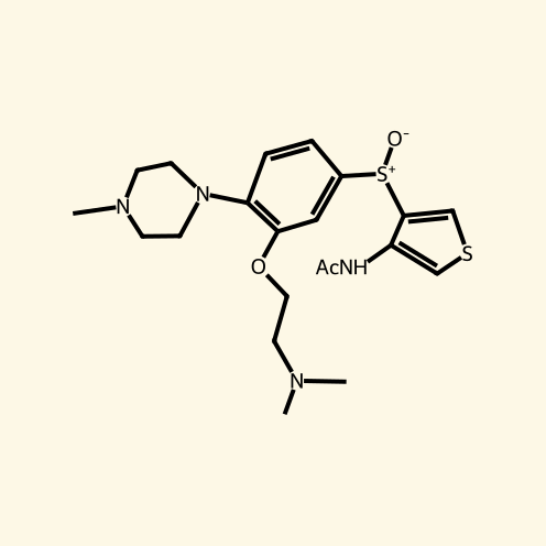 CC(=O)Nc1cscc1[S+]([O-])c1ccc(N2CCN(C)CC2)c(OCCN(C)C)c1